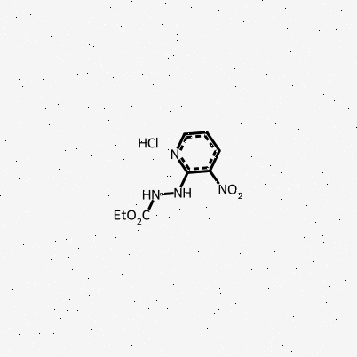 CCOC(=O)NNc1ncccc1[N+](=O)[O-].Cl